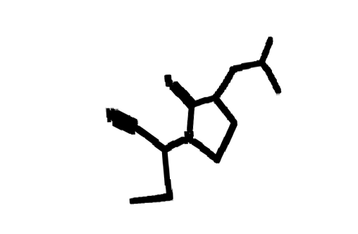 CCC(C#N)N1CCC(CC(C)C)C1=S